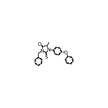 CC1C(=O)N(Cc2ccccc2)C(=S)N1c1ccc(Oc2ccccc2)cc1